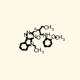 CCC(Sc1nnc2c3ccccc3n(CC)c2n1)C(=O)Nc1ccccc1OC